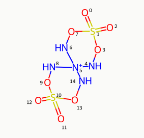 O=S1(=O)ON[N+]2(NO1)NOS(=O)(=O)ON2